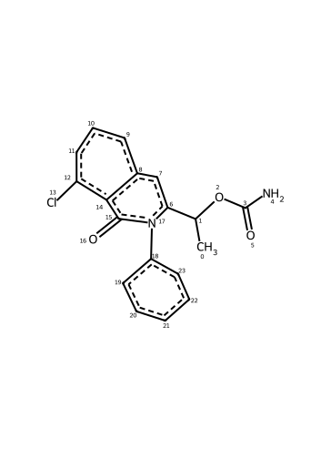 CC(OC(N)=O)c1cc2cccc(Cl)c2c(=O)n1-c1ccccc1